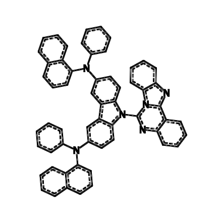 c1ccc(N(c2ccc3c(c2)c2cc(N(c4ccccc4)c4cccc5ccccc45)ccc2n3-c2nc3ccccc3c3nc4ccccc4n23)c2cccc3ccccc23)cc1